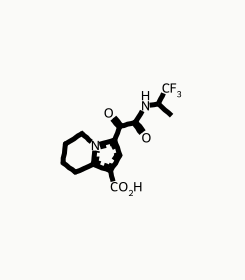 CC(NC(=O)C(=O)c1cc(C(=O)O)c2n1CCCC2)C(F)(F)F